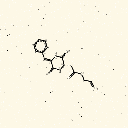 C=CCOC(=O)C[C@@H]1NC(=O)C(=Cc2ccccc2)NC1=O